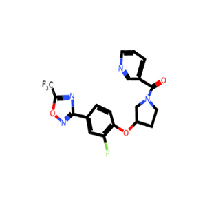 O=C(c1cccnc1)N1CCC(Oc2ccc(-c3noc(C(F)(F)F)n3)cc2F)C1